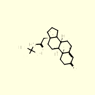 CC(C)(C)NC(=O)C[C@@]12CCC[C@H]1[C@@H]1CCC3=CC(=O)CC[C@]3(C)[C@H]1CC2